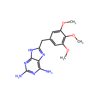 COc1cc(Cc2nc3c(N)nc(N)nc3[nH]2)cc(OC)c1OC